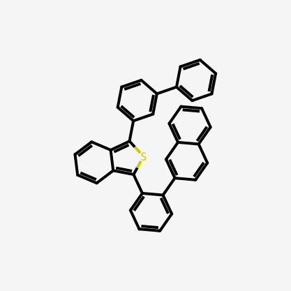 c1ccc(-c2cccc(-c3sc(-c4ccccc4-c4ccc5ccccc5c4)c4ccccc34)c2)cc1